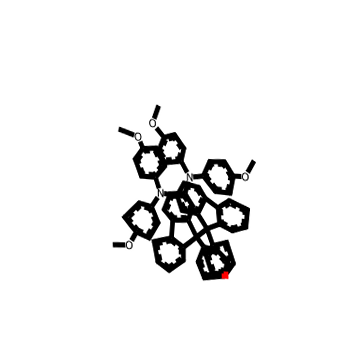 COc1ccc(N(c2ccc(OC)cc2)c2ccc3c(c2)C(c2ccccc2)(C2(c4ccccc4)c4ccccc4-c4ccc(N(c5ccc(OC)cc5)c5ccc(OC)cc5)cc42)c2ccccc2-3)cc1